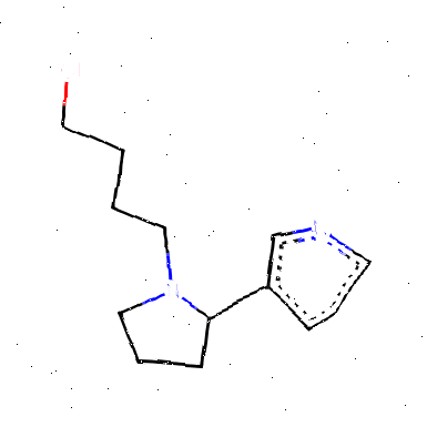 OCCCCN1CCCC1c1cccnc1